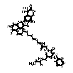 CC[C@@]1(O)C(=O)OCc2c1cc1n(c2=O)Cc2c-1nc1cc(F)c(C)c3c1c2C(CCCCOCNC(=O)CNC(=O)[C@H](Cc1ccccc1)NC(=O)CNC(=O)CN)CC3